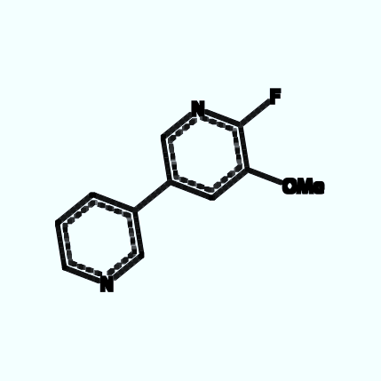 COc1cc(-c2cccnc2)cnc1F